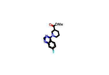 COC(=O)C1CCCN(c2ncnc3cc(F)ccc23)C1